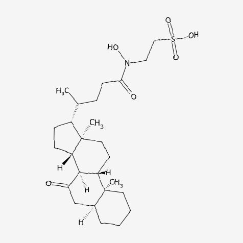 CC(CCC(=O)N(O)CCS(=O)(=O)O)[C@H]1CC[C@H]2[C@@H]3C(=O)C[C@@H]4CCCC[C@]4(C)[C@H]3CC[C@]12C